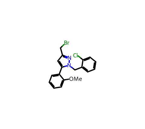 COc1ccccc1-c1cc(CBr)nn1Cc1ccccc1Cl